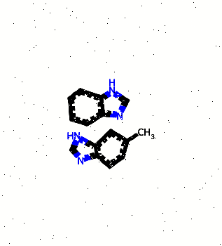 Cc1ccc2nc[nH]c2c1.c1ccc2[nH]cnc2c1